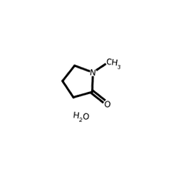 CN1CCCC1=O.O